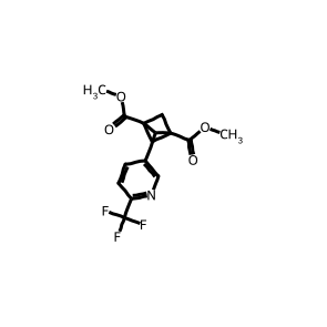 COC(=O)C12CC(C(=O)OC)(C1)C2c1ccc(C(F)(F)F)nc1